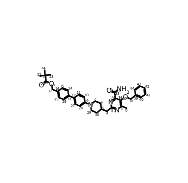 Cc1nc(CC2CCN(c3ccc(-c4ccc(COC(=O)C(C)(C)C)cc4)cc3)CC2)nc(C(N)=O)c1OCc1ccccc1